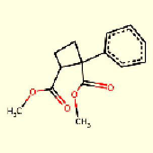 COC(=O)C1CCC1(C(=O)OC)c1ccccc1